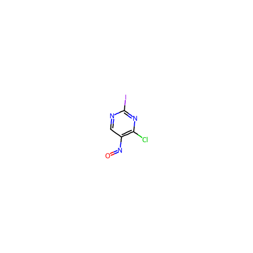 O=Nc1cnc(I)nc1Cl